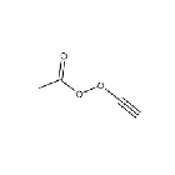 C#COOC(C)=O